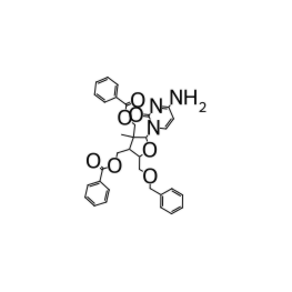 CC1(COC(=O)c2ccccc2)C(COC(=O)c2ccccc2)C(COCc2ccccc2)OC1n1ccc(N)nc1=O